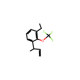 C=C[C](C)c1cccc(CC)c1OC(F)(F)F